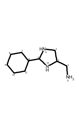 NCC1CNC(C2CCCCC2)N1